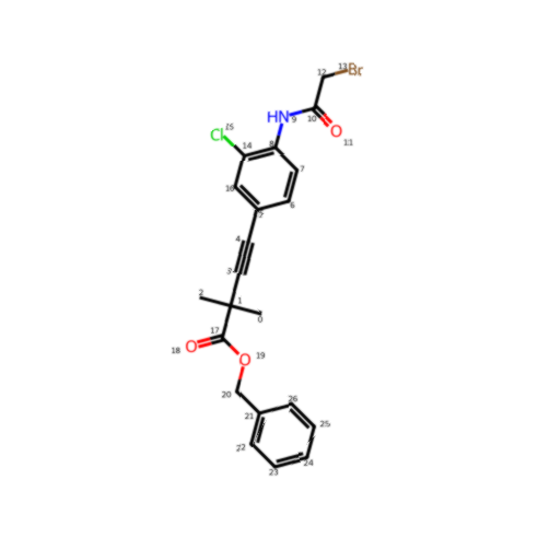 CC(C)(C#Cc1ccc(NC(=O)CBr)c(Cl)c1)C(=O)OCc1ccccc1